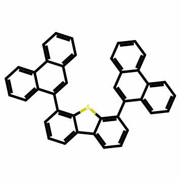 c1ccc2c(c1)cc(-c1cccc3c1sc1c(-c4cc5ccccc5c5ccccc45)cccc13)c1ccccc12